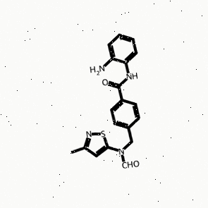 Cc1cc(N(C=O)Cc2ccc(C(=O)Nc3ccccc3N)cc2)sn1